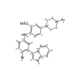 COc1cc(N2CCN(C(C)=O)CC2)ccc1Nc1ncc(Br)c(-c2cnc3ccccn23)n1